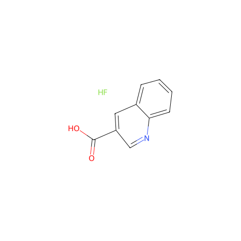 F.O=C(O)c1cnc2ccccc2c1